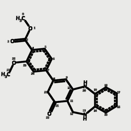 COC(=O)c1ccc(C2=CC3=C(CNc4ccccc4N3)C(=O)C2)cc1OC